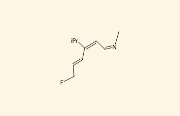 C\N=C/C=C(\C=C\CF)C(C)C